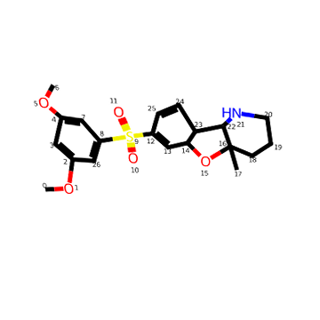 COc1cc(OC)cc(S(=O)(=O)C2=CC3OC4(C)CCCNC4C3C=C2)c1